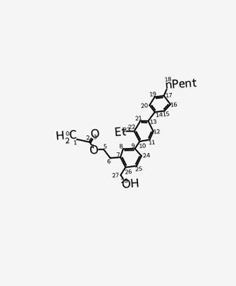 C=CC(=O)OCCc1cc(-c2ccc(-c3ccc(CCCCC)cc3)cc2CC)ccc1CO